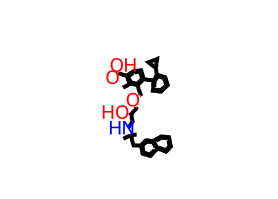 Cc1c(C(=O)O)ccc(-c2ccccc2C2CC2)c1COC[C@H](O)CNC(C)(C)Cc1ccc2ccccc2c1